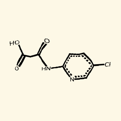 O=C(O)C(=O)Nc1ccc(Cl)cn1